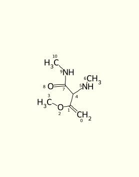 C=C(OC)C(NC)C(=O)NC